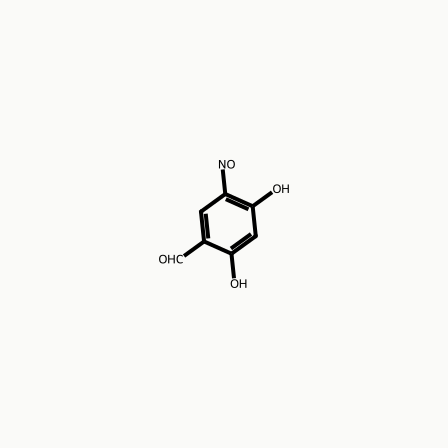 O=Cc1cc(N=O)c(O)cc1O